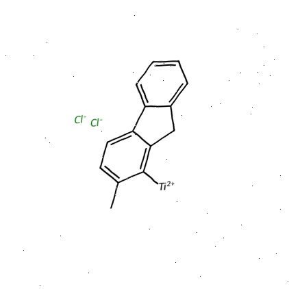 Cc1ccc2c([c]1[Ti+2])Cc1ccccc1-2.[Cl-].[Cl-]